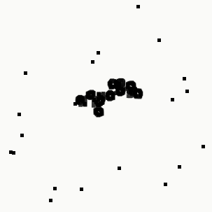 c1ccc(-c2cc(-c3ccc(-c4ccc(-c5cccc6c5sc5ccccc56)c5oc6ccccc6c45)cc3)nc(-c3cccc(-c4ccccn4)c3)n2)cc1